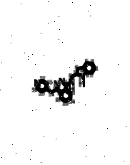 c1ccc2c(c1)CC(CNc1nnc(Cc3ccncc3)c3ccccc13)N2